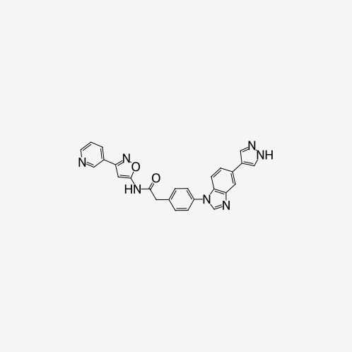 O=C(Cc1ccc(-n2cnc3cc(-c4cn[nH]c4)ccc32)cc1)Nc1cc(-c2cccnc2)no1